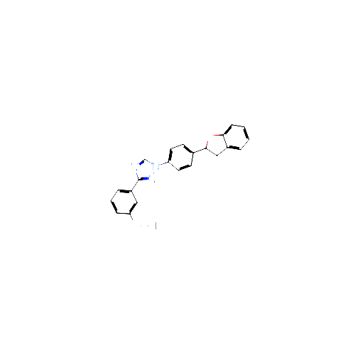 O=C(O)c1cccc(-c2ncn(-c3ccc(C4Cc5ccccc5O4)cc3)n2)c1